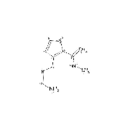 C=C(NC)c1sccc1C/N=C\N